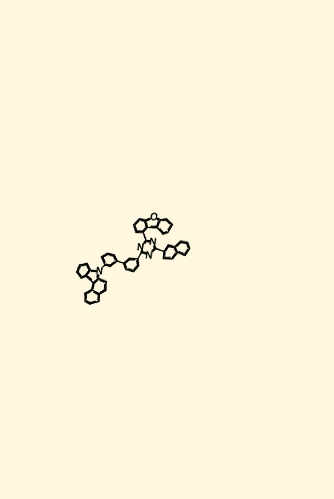 c1cc(-c2cccc(-n3c4ccccc4c4c5ccccc5ccc43)c2)cc(-c2nc(-c3ccc4ccccc4c3)nc(-c3cccc4oc5ccccc5c34)n2)c1